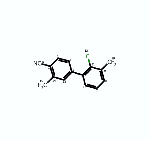 N#Cc1ccc(-c2[c]ccc(C(F)(F)F)c2Cl)cc1C(F)(F)F